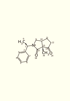 C[C@H](c1ccccc1)N1CC2CCC(=O)[C@]2(C)C1=O